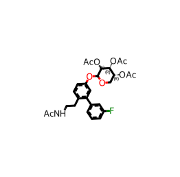 CC(=O)NCCc1ccc(OC2OC[C@@H](OC(C)=O)[C@@H](OC(C)=O)[C@@H]2OC(C)=O)cc1-c1cccc(F)c1